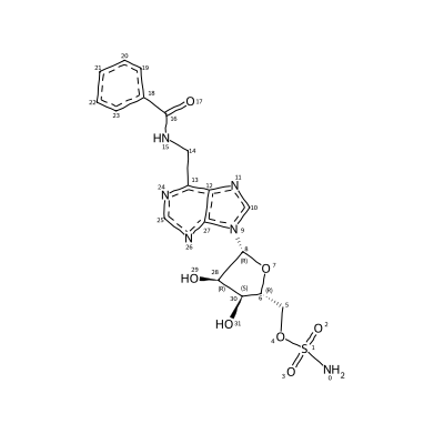 NS(=O)(=O)OC[C@H]1O[C@@H](n2cnc3c(CNC(=O)c4ccccc4)ncnc32)[C@H](O)[C@@H]1O